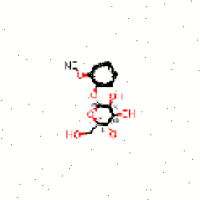 N#COc1ccccc1O[C@H]1O[C@H](CO)[C@@H](O)[C@H](O)[C@@H]1O